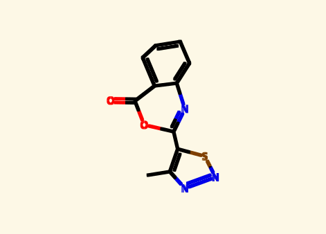 Cc1nnsc1-c1nc2ccccc2c(=O)o1